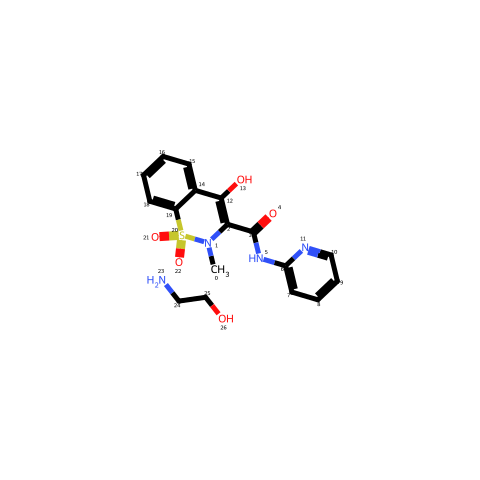 CN1C(C(=O)Nc2ccccn2)=C(O)c2ccccc2S1(=O)=O.NCCO